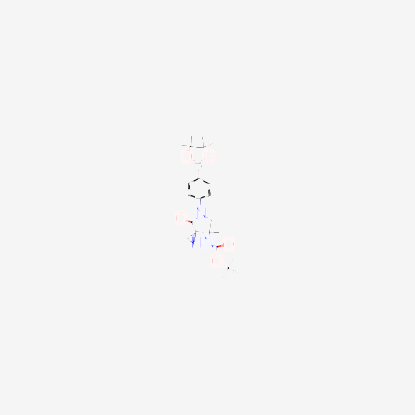 CC(C)(C)OC(=O)NC1(C)CN(c2ccc(B3OC(C)(C)C(C)(C)O3)cc2)C(=O)C12CC2